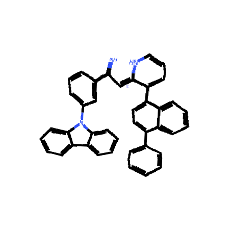 N=C(/C=C1\NC=CC=C1c1ccc(-c2ccccc2)c2ccccc12)c1cccc(-n2c3ccccc3c3ccccc32)c1